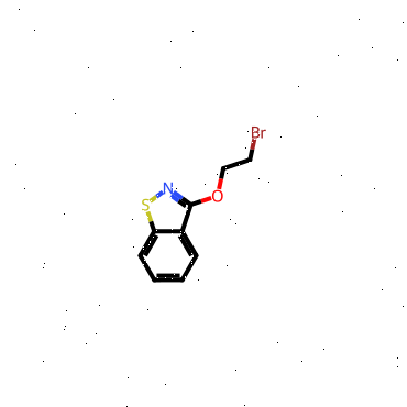 BrCCOc1nsc2ccccc12